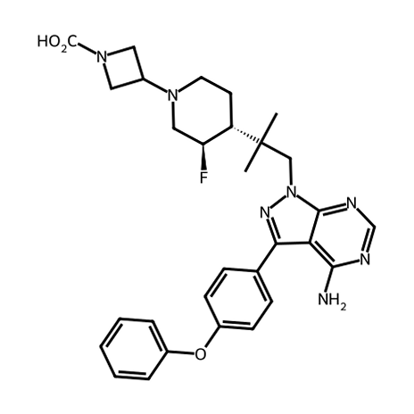 CC(C)(Cn1nc(-c2ccc(Oc3ccccc3)cc2)c2c(N)ncnc21)[C@H]1CCN(C2CN(C(=O)O)C2)C[C@@H]1F